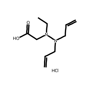 C=CCN(CC=C)N(CC)CC(=O)O.Cl